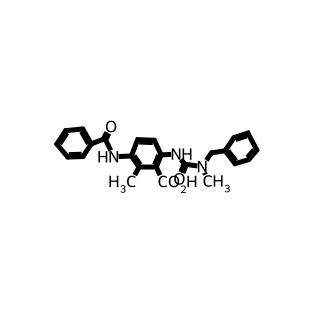 Cc1c(NC(=O)c2ccccc2)ccc(NC(=O)N(C)Cc2ccccc2)c1C(=O)O